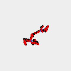 c1ccc(-c2cc(-c3ccc(-c4ccc(-c5ccc6oc7cc(-c8ccc(-c9cc(-c%10ccc(-c%11ccc(-c%12cccc%13oc%14ccccc%14c%12%13)cc%11)cc%10)nc(-c%10cccc(-c%11cc%12ccccc%12c%12ccccc%11%12)c%10)n9)cc8)ccc7c6c5)cc4)cc3)nc(-c3cccc(-c4cc5ccccc5c5ccccc45)c3)n2)cc1